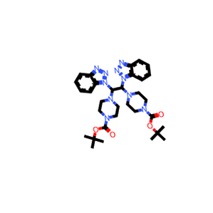 CC(C)(C)OC(=O)N1CCN(C(C(N2CCN(C(=O)OC(C)(C)C)CC2)n2nnc3ccccc32)n2nnc3ccccc32)CC1